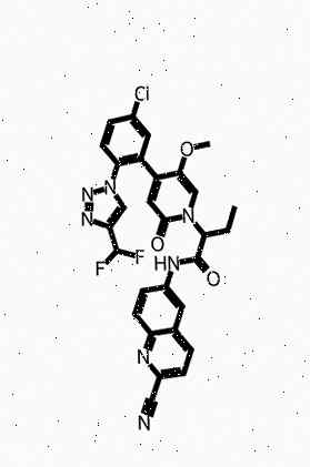 CCC(C(=O)Nc1ccc2nc(C#N)ccc2c1)n1cc(OC)c(-c2cc(Cl)ccc2-n2cc(C(F)F)nn2)cc1=O